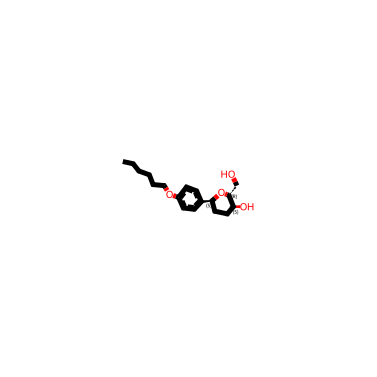 CCCCCCOc1ccc([C@@H]2CC[C@H](O)[C@@H](CO)O2)cc1